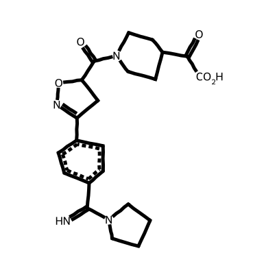 N=C(c1ccc(C2=NOC(C(=O)N3CCC(C(=O)C(=O)O)CC3)C2)cc1)N1CCCC1